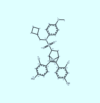 COc1ccc(N(CC2CCC2)S(=O)(=O)C2CC3OC2C(c2ccc(O)cc2Cl)=C3c2ccc(O)cc2Cl)cc1